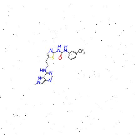 Cn1cc2ncnc(NCCc3cnc(NC(=O)Nc4cccc(C(F)(F)F)c4)s3)c2n1